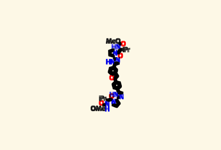 COC(=O)NC(C(=O)N1CCC[C@H]1c1ncc(-c2ccc3oc(-c4ccc(-c5cnc([C@@H]6CCCN6C(=O)[C@@H](NC(=O)OC)C(C)C)[nH]5)cc4)cc3c2)[nH]1)C(C)C